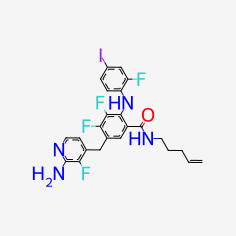 C=CCCCNC(=O)c1cc(Cc2ccnc(N)c2F)c(F)c(F)c1Nc1ccc(I)cc1F